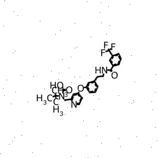 CC(C)(C)N(Cc1cc(Oc2cccc(CCNC(=O)c3cccc(C(F)(F)F)c3)c2)ccn1)C(=O)O